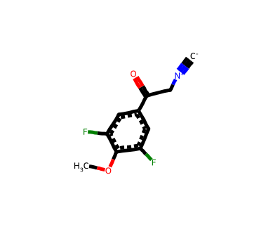 [C-]#[N+]CC(=O)c1cc(F)c(OC)c(F)c1